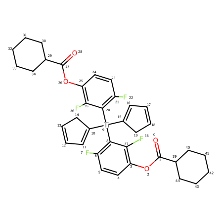 O=C(Oc1ccc(F)[c]([Ti]([C]2=CC=CC2)([C]2=CC=CC2)[c]2c(F)ccc(OC(=O)C3CCCCC3)c2F)c1F)C1CCCCC1